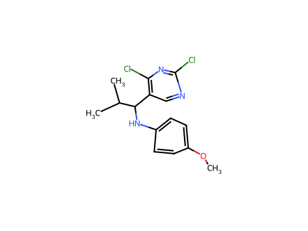 COc1ccc(NC(c2cnc(Cl)nc2Cl)C(C)C)cc1